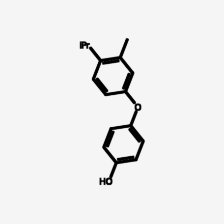 Cc1cc(Oc2ccc(O)cc2)ccc1C(C)C